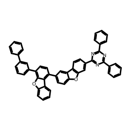 c1ccc(-c2cccc(-c3ccc(-c4ccc5oc6cc(-c7nc(-c8ccccc8)nc(-c8ccccc8)n7)ccc6c5c4)c4c3oc3ccccc34)c2)cc1